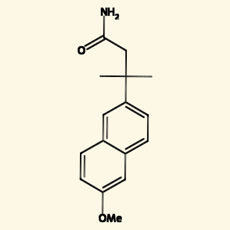 COc1ccc2cc(C(C)(C)CC(N)=O)ccc2c1